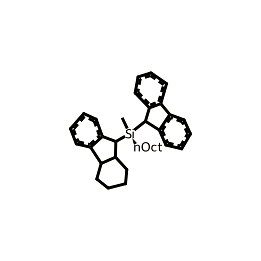 CCCCCCCC[Si@@](C)(C1c2ccccc2-c2ccccc21)C1c2ccccc2C2CCCCC21